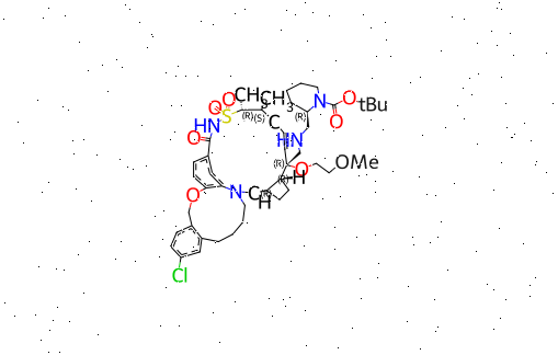 COCCO[C@@]1(CNC[C@H]2CCCCN2C(=O)OC(C)(C)C)/C=C/C[C@H](C)[C@@H](C)S(=O)(=O)NC(=O)c2ccc3c(c2)N(CCCCc2cc(Cl)ccc2CO3)C[C@@H]2CC[C@H]21